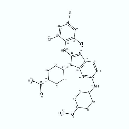 COC1CCC(Nc2ncc3nc(Nc4c(Cl)cc(Cl)cc4Cl)n([C@H]4CC[C@@H](C(N)=O)CC4)c3n2)CC1